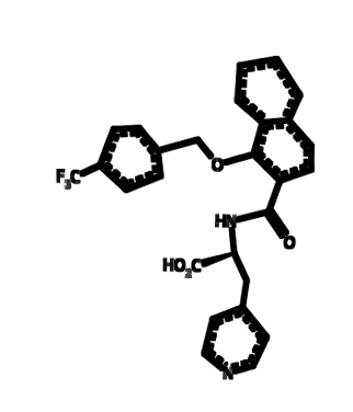 O=C(N[C@@H](Cc1ccncc1)C(=O)O)c1ccc2ccccc2c1OCc1ccc(C(F)(F)F)cc1